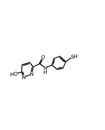 O=C(Nc1ccc(S)cc1)c1ccc(O)nn1